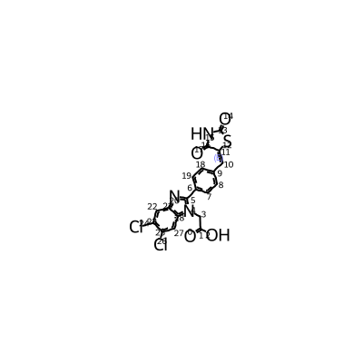 O=C(O)Cn1c(-c2ccc(/C=C3/SC(=O)NC3=O)cc2)nc2cc(Cl)c(Cl)cc21